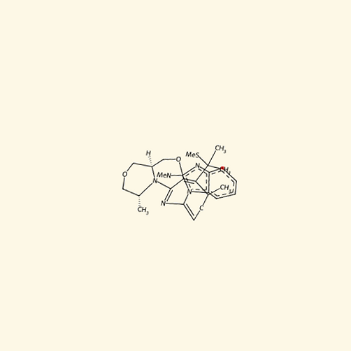 CNc1nc2ccccc2n1C1=C/CC(C)/C(C(C)(C)SC)=C2/OC[C@@H]3COC[C@@H](C)N3/C2=N/1